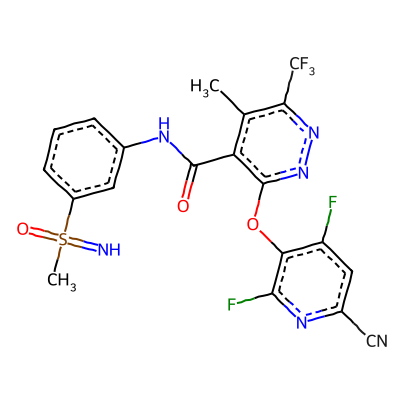 Cc1c(C(F)(F)F)nnc(Oc2c(F)cc(C#N)nc2F)c1C(=O)Nc1cccc(S(C)(=N)=O)c1